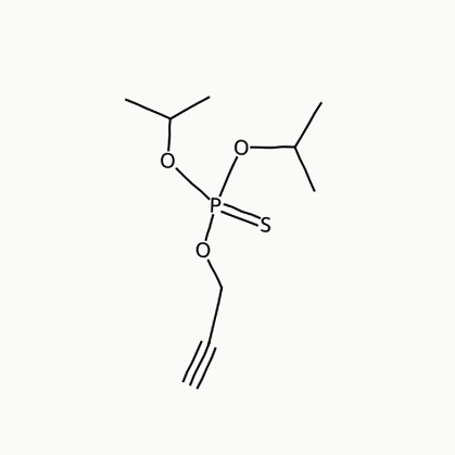 C#CCOP(=S)(OC(C)C)OC(C)C